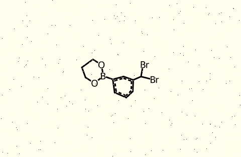 BrC(Br)c1cccc(B2OCCCO2)c1